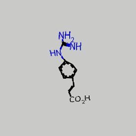 N=C(N)Nc1ccc(/C=C/C(=O)O)cc1